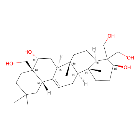 CC1(C)CC[C@]2(CO)[C@H](O)C[C@]3(C)C(=CC[C@@H]4[C@@]5(C)CC[C@H](O)C(CO)(CO)[C@@H]5CC[C@]43C)[C@@H]2C1